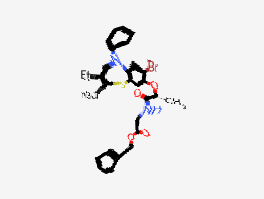 CCCCC1Sc2cc(O[C@H](C)C(=O)NCC(=O)OCc3ccccc3)c(Br)cc2N(c2ccccc2)CC1CC